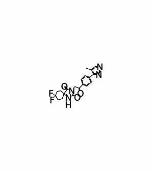 Cc1cncnc1-c1ccc(C(=O)CN2C(=O)NC3(CCC(F)(F)CC3)C2=O)cc1